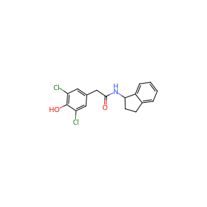 O=C(Cc1cc(Cl)c(O)c(Cl)c1)NC1CCc2ccccc21